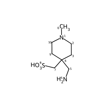 CN1CCC(CN)(CS(=O)(=O)O)CC1